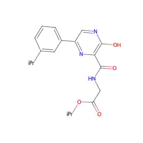 CC(C)OC(=O)CNC(=O)c1nc(-c2cccc(C(C)C)c2)cnc1O